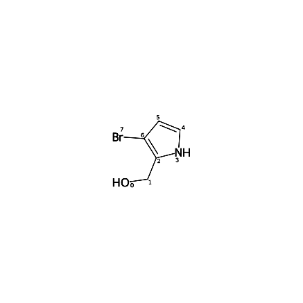 OCc1[nH]ccc1Br